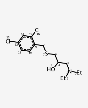 CCN(CC)CC(O)CSCc1ccc(Cl)cc1Cl